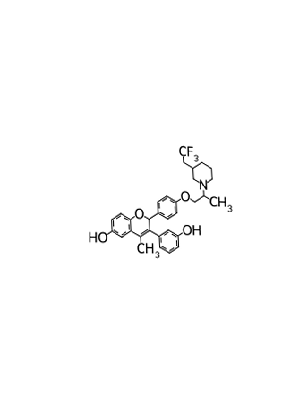 CC1=C(c2cccc(O)c2)C(c2ccc(OCC(C)N3CCCC(CC(F)(F)F)C3)cc2)Oc2ccc(O)cc21